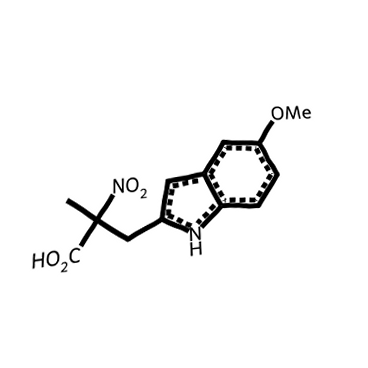 COc1ccc2[nH]c(CC(C)(C(=O)O)[N+](=O)[O-])cc2c1